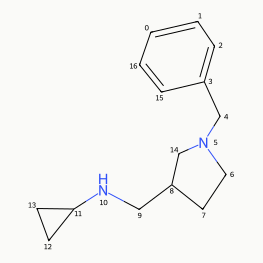 c1ccc(CN2CCC(CNC3CC3)C2)cc1